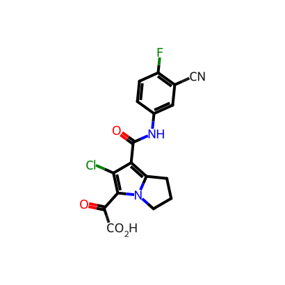 N#Cc1cc(NC(=O)c2c(Cl)c(C(=O)C(=O)O)n3c2CCC3)ccc1F